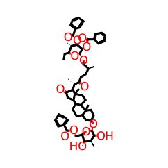 CCC1O[C@@H](OC[C@@H](C)CCC(=O)[C@@H](C)C2C(=O)CC3C4CCC5CC(O[C@@H]6OC(COC(=O)c7ccccc7)[C@@H](O)[C@H](C)C6O)CCC5(C)C4CCC32C)C(OC(=O)c2ccccc2)[C@@H](OC(=O)c2ccccc2)[C@H]1C